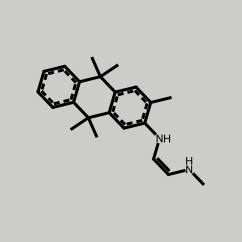 CN/C=C\Nc1cc2c(cc1C)C(C)(C)c1ccccc1C2(C)C